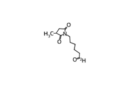 [2H]C(=O)CCCCCN1C(=O)CC(C)C1=O